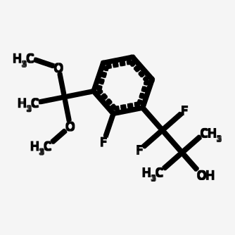 COC(C)(OC)c1cccc(C(F)(F)C(C)(C)O)c1F